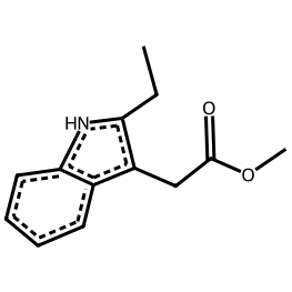 CCc1[nH]c2ccccc2c1CC(=O)OC